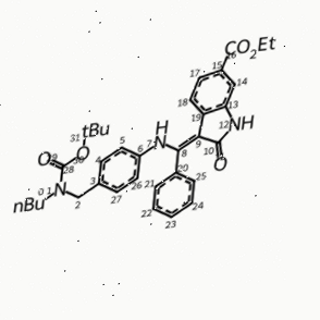 CCCCN(Cc1ccc(NC(=C2C(=O)Nc3cc(C(=O)OCC)ccc32)c2ccccc2)cc1)C(=O)OC(C)(C)C